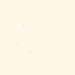 C[C@@H](O)[C@H](C(=O)OCN)C(=O)OCc1ccccc1